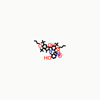 CCCCOc1c(C(C)(C)C)cc(C(O)(c2cc(C(C)(C)C)c(OCCCC)c(C(C)(C)C)c2)C(N=Cc2cc([N+](=O)[O-])ccc2O)C(C)C)cc1C(C)(C)C